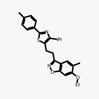 CCOc1cc2onc(CCc3sc(-c4ccc(C)cc4)nc3C(C)C)c2cc1C